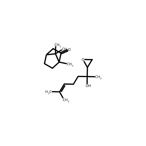 CC(C)=CCCC(C)(O)C1CO1.CC12CCC(CC1=O)C2(C)C